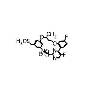 CSCc1cc(O[C@@H](C)CCOc2cc(F)ccc2-c2nc(Cl)ncc2F)cc([N+](=O)[O-])c1